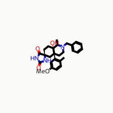 COc1ccc(C)c([C@]23CCN(Cc4ccccc4)C(C)[C@]2(O)CC[C@@]2(C3)NC(=O)NC2=O)c1